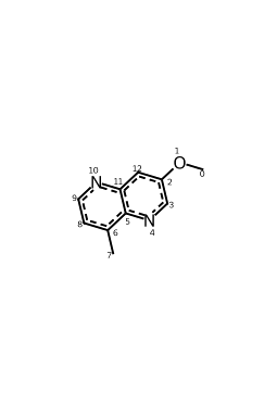 COc1cnc2c(C)ccnc2c1